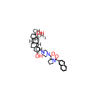 C[C@]12C[C@H](N3CCN(C(=O)[C@@H]4CCCN4C(=O)c4ccc5ccccc5c4)CC3)[C@@H](O)CC1CC[C@@H]1[C@@H]2CC[C@@]2(C)[C@H]1CC[C@]2(C)O